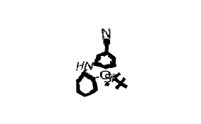 CC(C)(C)[Si](C)(C)O[C@@H]1CCCC[C@H]1Nc1cccc(C#N)c1